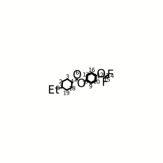 CC[C@H]1CC[C@H](C(=O)Oc2ccc(OC(F)F)cc2)CC1